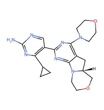 Nc1ncc(-c2nc(N3CCOCC3)c3c(n2)N2CCOC[C@H]2C3)c(C2CC2)n1